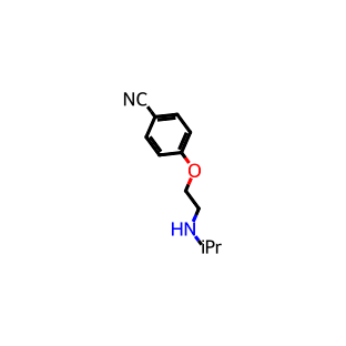 CC(C)NCCOc1ccc(C#N)cc1